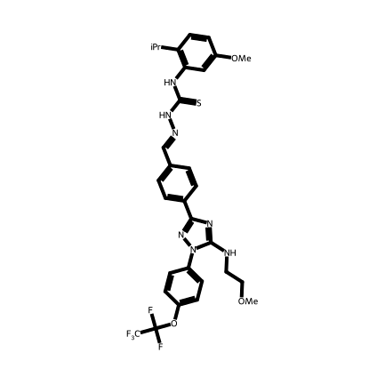 COCCNc1nc(-c2ccc(/C=N/NC(=S)Nc3cc(OC)ccc3C(C)C)cc2)nn1-c1ccc(OC(F)(F)C(F)(F)F)cc1